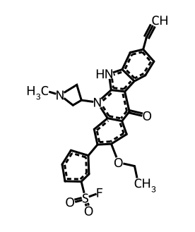 C#Cc1ccc2c(c1)[nH]c1c2c(=O)c2cc(OCC)c(-c3cccc(S(=O)(=O)F)c3)cc2n1C1CN(C)C1